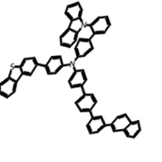 c1cc(-c2ccc(-c3ccc(N(c4ccc(-c5ccc6sc7ccccc7c6c5)cc4)c4ccc(-c5ccccc5-n5c6ccccc6c6ccccc65)cc4)cc3)cc2)cc(-c2ccc3ccccc3c2)c1